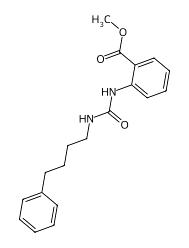 COC(=O)c1ccccc1NC(=O)NCCCCc1ccccc1